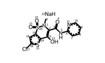 CN1C(C(=O)Nc2ccccn2)=C(O)c2sc(Cl)cc2S1(=O)=O.[NaH]